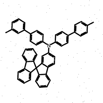 Cc1ccc(-c2ccc(N(c3ccc(-c4cccc(C)c4)cc3)c3ccc4c(c3)C3(c5ccccc5-c5ccccc53)c3ccccc3-4)cc2)cc1